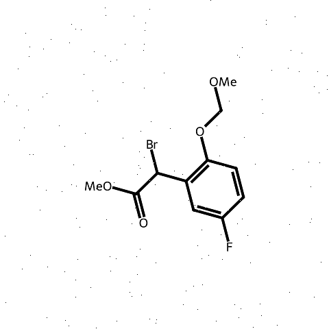 COCOc1ccc(F)cc1C(Br)C(=O)OC